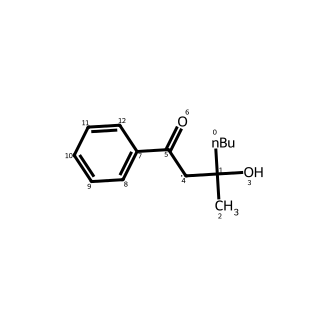 CCCCC(C)(O)[CH]C(=O)c1ccccc1